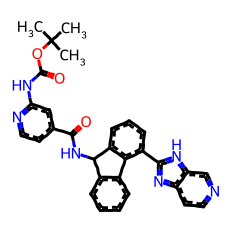 CC(C)(C)OC(=O)Nc1cc(C(=O)NC2c3ccccc3-c3c(-c4nc5ccncc5[nH]4)cccc32)ccn1